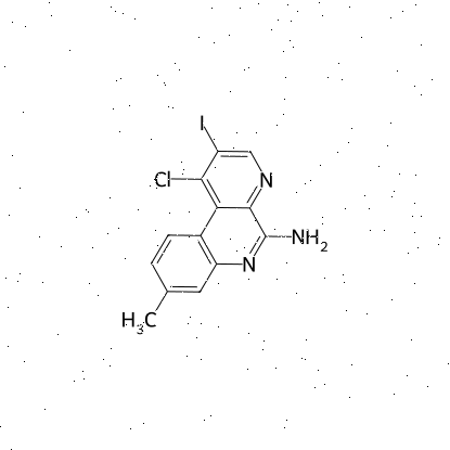 Cc1ccc2c(c1)nc(N)c1ncc(I)c(Cl)c12